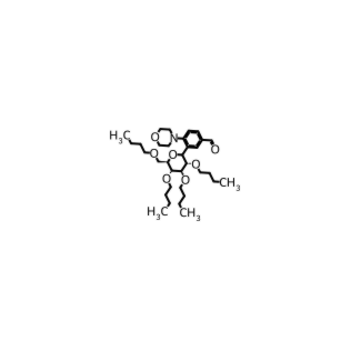 CCCCOC[C@H]1OC(c2cc(C=O)ccc2N2CCOCC2)[C@H](OCCCC)[C@@H](OCCCC)[C@@H]1OCCCC